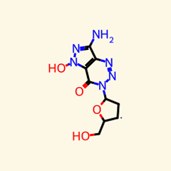 Nc1nn(O)c2c(=O)n(C3C[CH]C(CO)O3)nnc12